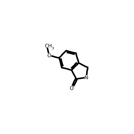 COc1ccc2c(c1)C(=O)[N]C2